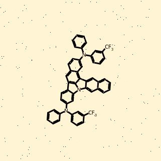 FC(F)(F)c1cccc(N(c2ccccc2)c2ccc3cc4c5ccc(N(c6ccccc6)c6cccc(C(F)(F)F)c6)cc5n5c6cc7ccccc7cc6c(c3c2)c45)c1